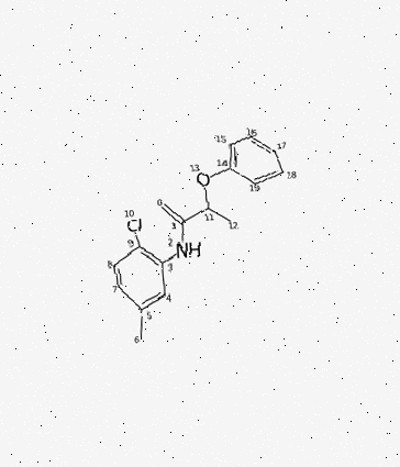 C=C(Nc1cc(C)ccc1Cl)C(C)Oc1ccccc1